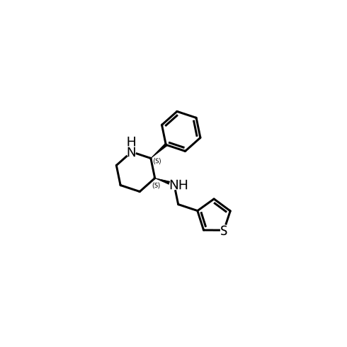 c1ccc([C@@H]2NCCC[C@@H]2NCc2ccsc2)cc1